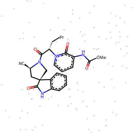 COC(=O)Nc1cccn([C@@H](CC(C)C)C(=O)N2C[C@]3(C[C@H]2C#N)C(=O)Nc2ccccc23)c1=O